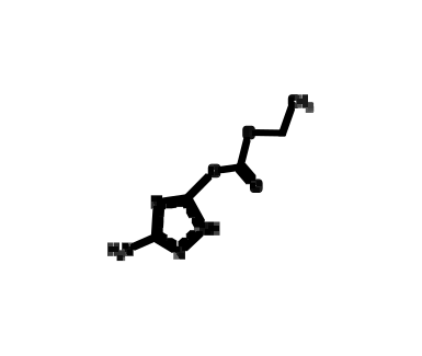 CCOC(=O)Oc1nc(N)n[nH]1